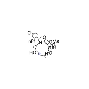 CCCc1cc(Cl)ccc1C1COc2ccc3cc2N(C1)CC1CCC1C(O)/C=C/CC(C)N(C)C(=O)C[C@@]3(O)C(=O)OC